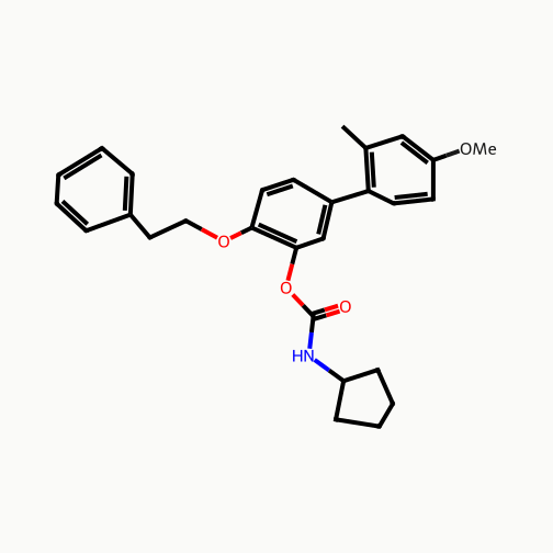 COc1ccc(-c2ccc(OCCc3ccccc3)c(OC(=O)NC3CCCC3)c2)c(C)c1